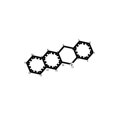 c1ccc2c(c1)Cc1cc3ccccc3cc1S2